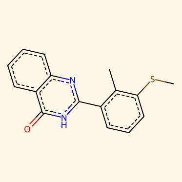 CSc1cccc(-c2nc3ccccc3c(=O)[nH]2)c1C